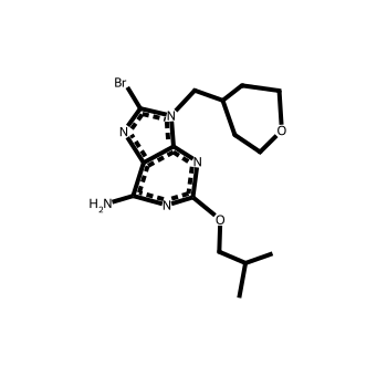 CC(C)COc1nc(N)c2nc(Br)n(CC3CCOCC3)c2n1